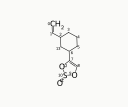 C=CC1CCCC(C2=COS(=O)O2)C1